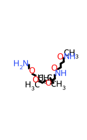 CNC(=O)CCCC(=O)NCCC(C)(C)OCCC(C)(C)OCCOCCN